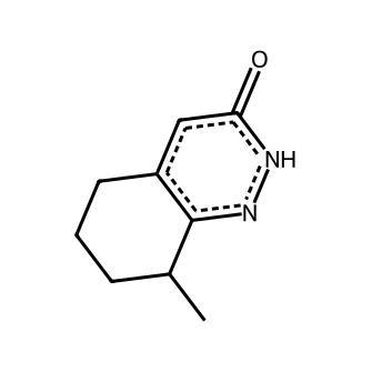 CC1CCCc2cc(=O)[nH]nc21